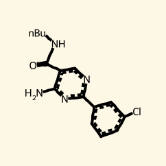 CCCCNC(=O)c1cnc(-c2cccc(Cl)c2)nc1N